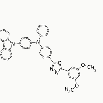 COc1cc(OC)cc(-c2nnc(-c3ccc(N(c4ccccc4)c4ccc(-n5c6ccccc6c6ccccc65)cc4)cc3)o2)c1